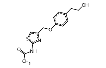 CC(=O)Nc1nc(COc2ccc(CCO)cc2)cs1